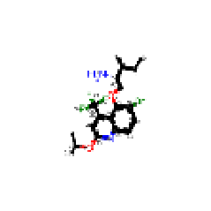 CCC(C)[C@@H](N)COc1c(Br)ccc2nc(OC(C)C)cc(C(F)(F)F)c12